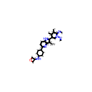 C=Nn1cc(-c2[nH]c3ccc(C4CCC(NC5COC5)CC4)nc3c2C(C)C)c(C)c(C)/c1=N/C